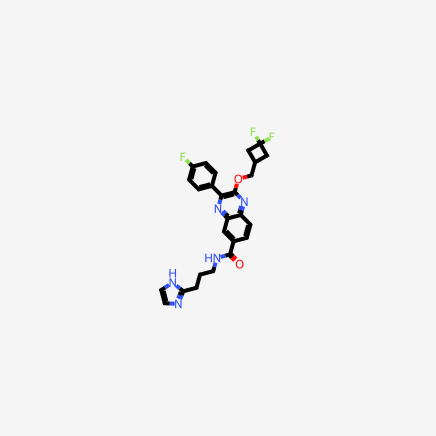 O=C(NCCCc1ncc[nH]1)c1ccc2nc(OCC3CC(F)(F)C3)c(-c3ccc(F)cc3)nc2c1